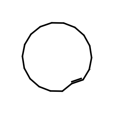 [CH]1/C=C/CCCCCCCCCCCCCCC1